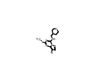 CSc1nc(NCC2CCOCC2)n2ncc(Br)c2n1